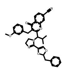 COc1cccc(Cc2c(C(C(C)C)N3CCN=C3C3=COC(Cc4ccccc4)O3)oc3cc(C#N)ccc3c2=O)c1